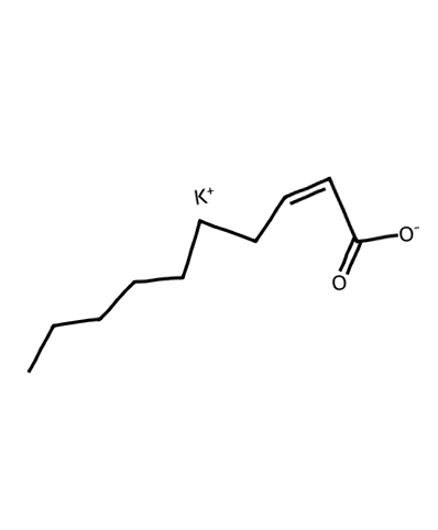 CCCCCCC/C=C\C(=O)[O-].[K+]